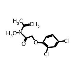 C=C(C)N(C)C(=O)COc1ccc(Cl)cc1Cl